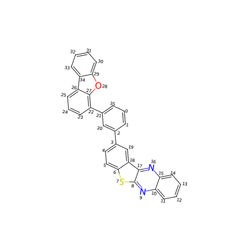 c1cc(-c2ccc3sc4nc5ccccc5nc4c3c2)cc(-c2cccc3c2oc2ccccc23)c1